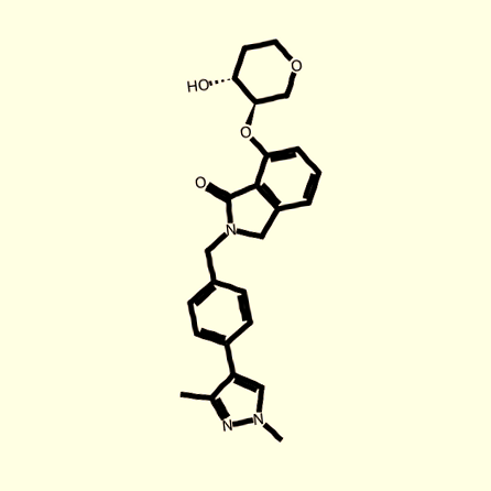 Cc1nn(C)cc1-c1ccc(CN2Cc3cccc(O[C@@H]4COCC[C@H]4O)c3C2=O)cc1